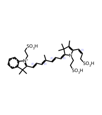 CC1=C(/C=C\CS(=O)(=O)O)N(CCS(=O)(=O)O)/C(=C/C=C/C(C)=C/C=C/C2=[N+](CCS(=O)(=O)O)c3ccccc3C2(C)C)C1(C)C